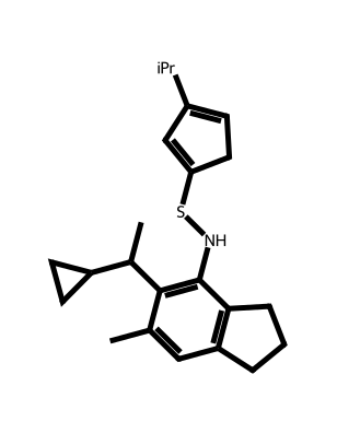 Cc1cc2c(c(NSC3=CC(C(C)C)=CC3)c1C(C)C1CC1)CCC2